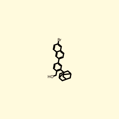 OCc1ccc(-c2ccc3cc(Br)ccc3c2)cc1C12CC3CC(CC(C3)C1)C2